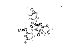 COc1cc(F)ccc1C1SC(c2ccc(Cl)cc2)=NN1C(=O)c1ccccc1OC(C)=O